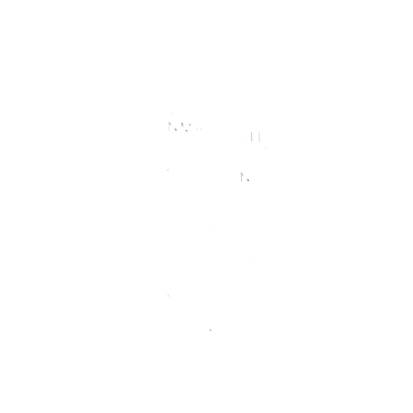 C=N/C(=C\NC)C1=CCOCC1